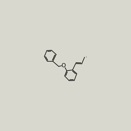 [CH2]C=Cc1ccccc1OCc1ccccc1